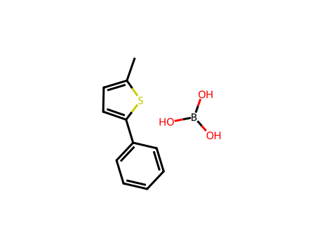 Cc1ccc(-c2ccccc2)s1.OB(O)O